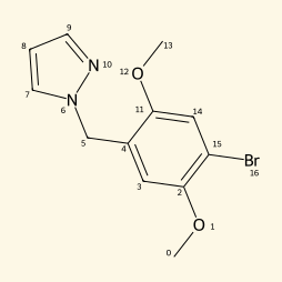 COc1cc(Cn2cccn2)c(OC)cc1Br